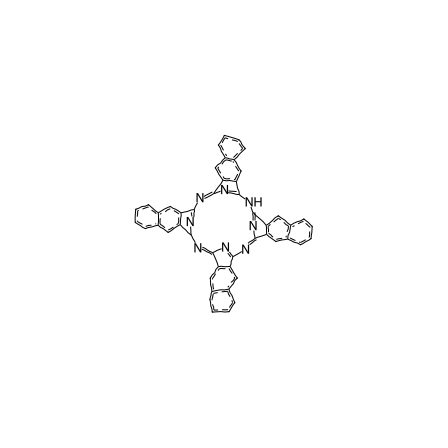 c1ccc2cc3c(cc2c1)C1=NC3=NC2N=C(N=C3N=C(NC4=NC(=N1)c1cc5ccccc5cc14)c1cc4ccccc4cc13)c1cc3ccccc3cc12